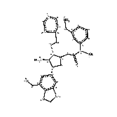 CCCCN(C(=O)CN1C[C@H](c2cc(CO)c3c(c2)OCO3)[C@@H](C(=O)O)[C@@H]1CCc1ccncn1)c1cccc(CN)c1